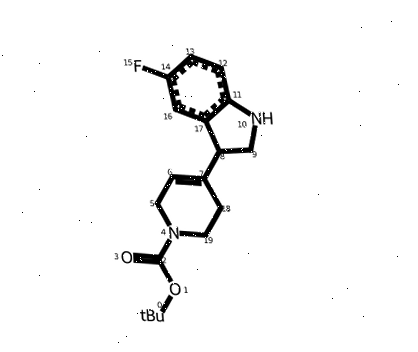 CC(C)(C)OC(=O)N1CC=C(C2CNc3ccc(F)cc32)CC1